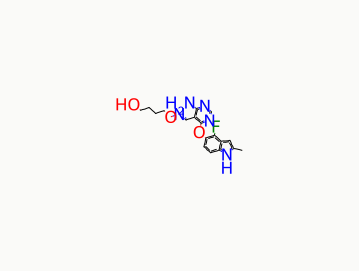 Cc1cc2c(F)c(Oc3ncnc(N)c3C=NOCCCCO)ccc2[nH]1